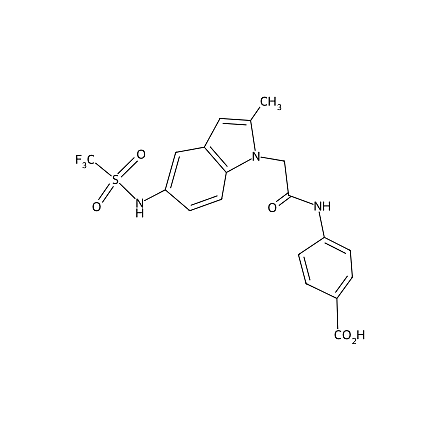 Cc1cc2cc(NS(=O)(=O)C(F)(F)F)ccc2n1CC(=O)Nc1ccc(C(=O)O)cc1